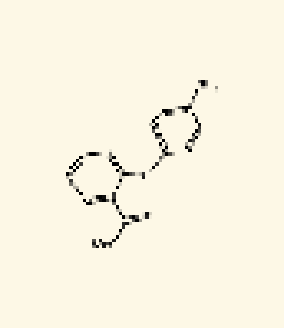 COC(=O)c1ccccc1Oc1ccc(N)cc1